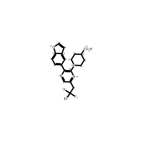 CCC(F)(F)Cc1cnc(-c2ccc3occc3c2)c(N2CCC(C(=O)O)CC2)n1